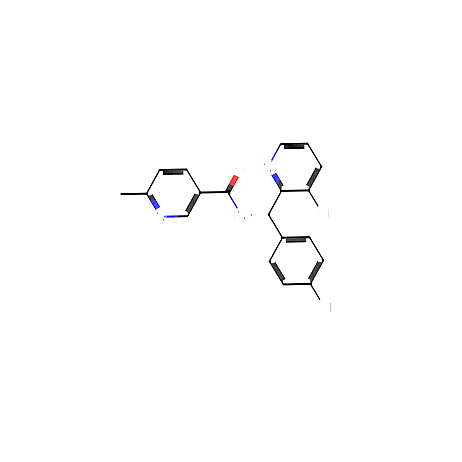 Cc1ccc(C(=O)N[C@@H](c2ccc(C(F)(F)F)cc2)c2ncccc2C(F)(F)F)cn1